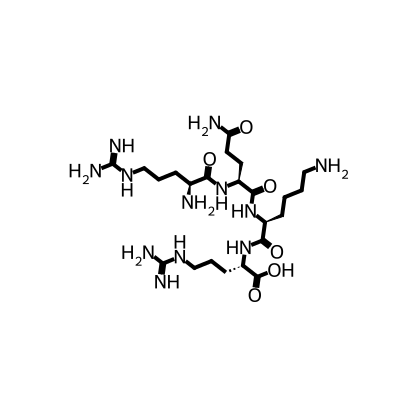 N=C(N)NCCC[C@H](NC(=O)[C@H](CCCCN)NC(=O)[C@H](CCC(N)=O)NC(=O)[C@@H](N)CCCNC(=N)N)C(=O)O